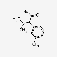 CCC(C)C(=O)C(c1cccc(C(F)(F)F)c1)N(C)C